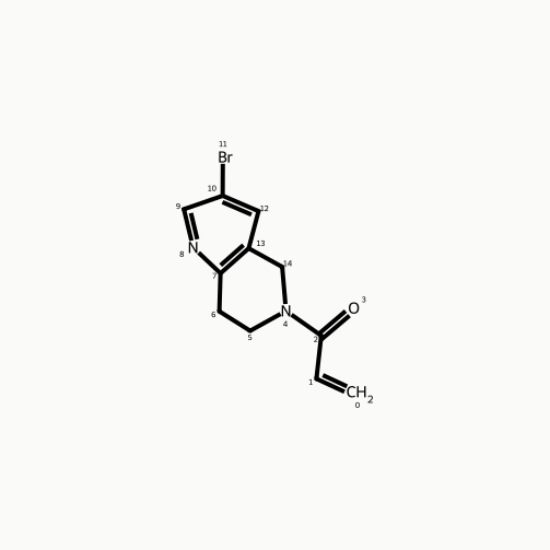 C=CC(=O)N1CCc2ncc(Br)cc2C1